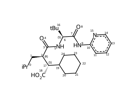 CC(C)C[C@@H](C(=O)N[C@H](C(=O)Nc1ccccn1)C(C)(C)C)[C@@H](C(=O)O)C1CCCCC1